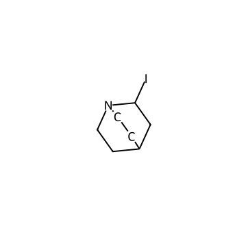 IC1CC2CCN1CC2